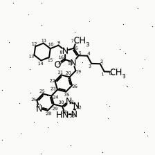 CCCCCc1c(C)n(CC2CCCCC2)c(=O)n1Cc1ccc(-c2ccncc2-c2nnn[nH]2)cc1